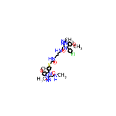 CCNC(=O)C[C@@H]1N=C(c2ccc(SCCC(=O)NCCCCCNC(=O)C[C@@H]3N=C(c4ccc(Cl)cc4)c4cc(OC)ccc4-n4c(C)nnc43)cc2)c2cc(OC)ccc2-n2c(C)nnc21